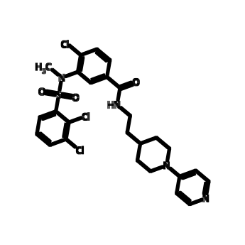 CN(c1cc(C(=O)NCCC2CCN(c3ccncc3)CC2)ccc1Cl)S(=O)(=O)c1cccc(Cl)c1Cl